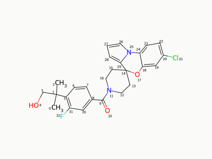 CC(C)(CO)c1ccc(C(=O)N2CCC3(CC2)Oc2cc(Cl)ccc2-n2cccc23)cc1F